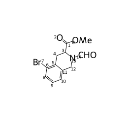 COC(=O)C1Cc2c(Br)cccc2CN1C=O